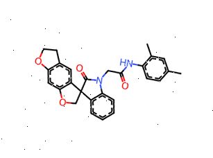 Cc1ccc(NC(=O)CN2C(=O)C3(COc4cc5c(cc43)CCO5)c3ccccc32)c(C)c1